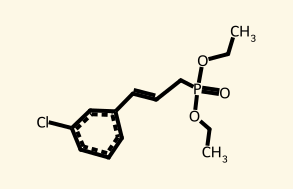 CCOP(=O)(C/C=C/c1cccc(Cl)c1)OCC